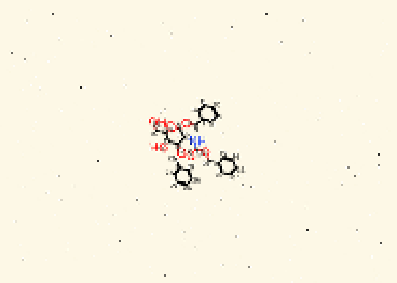 O=C(N[C@H]1[C@@H](OCc2ccccc2)O[C@H](CO)[C@@H](O)[C@@H]1OCc1ccccc1)OCc1ccccc1